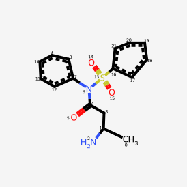 CC(N)CC(=O)N(c1ccccc1)S(=O)(=O)c1ccccc1